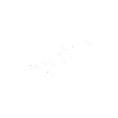 CNC(=O)c1ncnc2c(C(C)CNc3cc(-c4ccc(C#N)cc4)ncn3)cccc12